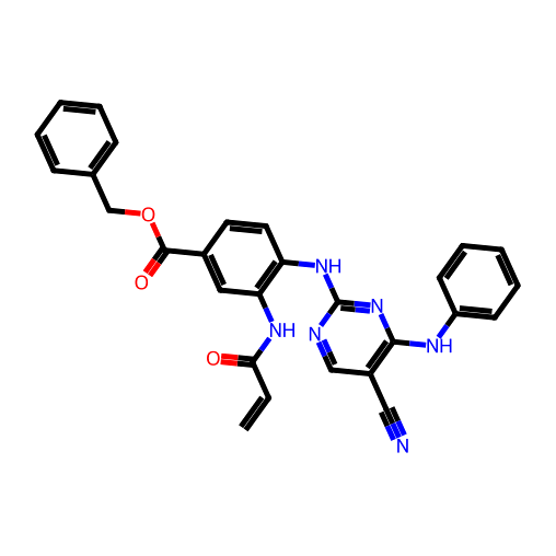 C=CC(=O)Nc1cc(C(=O)OCc2ccccc2)ccc1Nc1ncc(C#N)c(Nc2ccccc2)n1